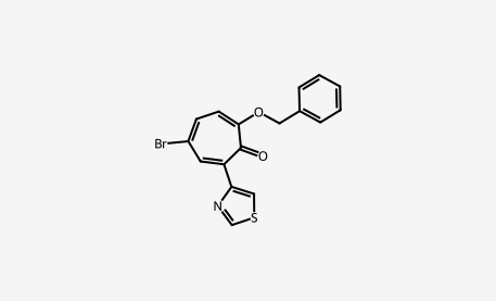 O=c1c(OCc2ccccc2)ccc(Br)cc1-c1cscn1